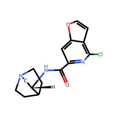 O=C(N[C@H]1CN2CCC1CC2)c1cc2occc2c(Cl)n1